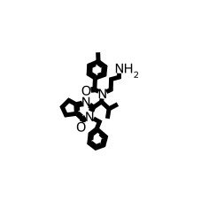 Cc1ccc(C(=O)N(CCCN)C(c2nc3c(c(=O)n2Cc2ccccc2)CCC3)C(C)C)cc1